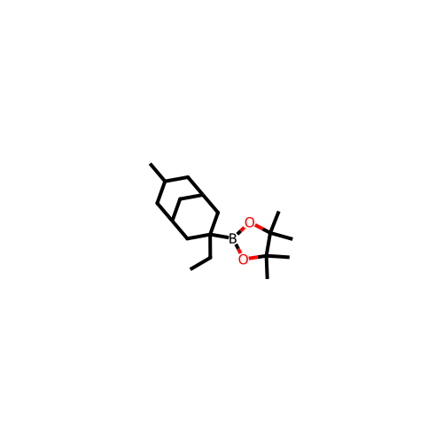 CCC1(B2OC(C)(C)C(C)(C)O2)CC2CC(C)CC(C2)C1